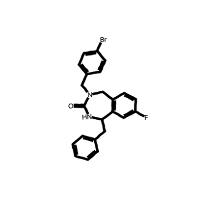 O=C1NC(Cc2ccccc2)c2cc(F)ccc2CN1Cc1ccc(Br)cc1